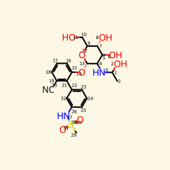 CC(O)NC1C(O)[C@@H](O)C(CO)O[C@H]1Oc1cccc(C#N)c1-c1cccc(NS(C)(=O)=O)c1